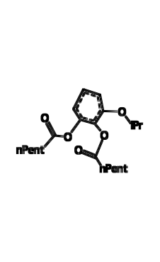 CCCCCC(=O)Oc1cccc(OC(C)C)c1OC(=O)CCCCC